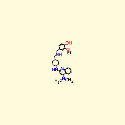 CCOc1cc(CNCC2CCC(Nc3cc(N(C)C)c4ccccc4n3)CC2)ccc1O